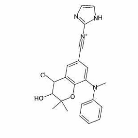 CN(c1ccccc1)c1cc(C#[N+]c2ncc[nH]2)cc2c1OC(C)(C)C(O)C2Cl